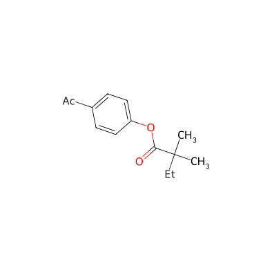 CCC(C)(C)C(=O)Oc1ccc(C(C)=O)cc1